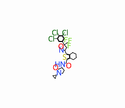 O=C(NC1CCN(C2CC2)C1=O)c1sc(C2=NOC(c3cc(Cl)c(Cl)c(Cl)c3)(C(F)(F)F)C2)c2c1CCCC2